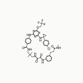 CNC(=O)CCc1cccc(NC(=O)C(=O)NCC(C)(C)CNC(=O)c2ccc(Nc3nc(NC4(c5ccc(Cl)cc5)CC4)nc(OCC(F)(F)F)n3)cc2)c1